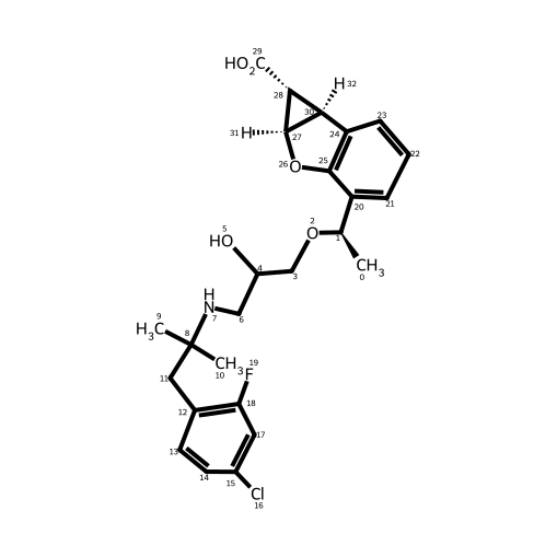 C[C@@H](OCC(O)CNC(C)(C)Cc1ccc(Cl)cc1F)c1cccc2c1O[C@H]1[C@H](C(=O)O)[C@@H]21